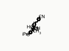 CC(C)Oc1ccc(N(C)CC(O)C2(O)CCN(CCc3ccc(C#N)cc3)CC2)cc1.Cl.Cl